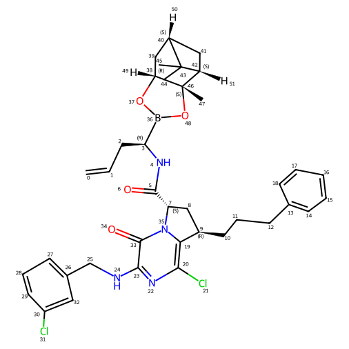 C=CC[C@H](NC(=O)[C@@H]1C[C@@H](CCCc2ccccc2)c2c(Cl)nc(NCc3cccc(Cl)c3)c(=O)n21)B1O[C@@H]2C[C@@H]3C[C@@H](C3(C)C)[C@]2(C)O1